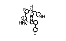 O=C(CC1CCNCC1)Nc1cncc(-c2cnc3[nH]nc(-c4cc5c(-c6ccc(F)cc6)cccc5[nH]4)c3c2)c1